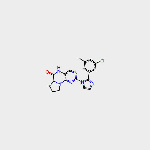 Cc1cc(Cl)cc(-c2nccn2-c2ncc3c(n2)N2CCCC2C(=O)N3)c1